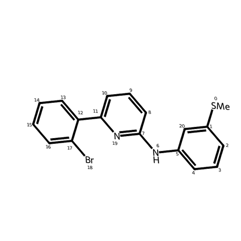 CSc1cccc(Nc2cccc(-c3ccccc3Br)n2)c1